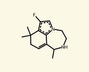 CC1NCCn2cc(F)c3c2C1=CCC3(C)C